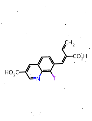 C=C/C(=C\c1ccc2cc(C(=O)O)cnc2c1I)C(=O)O